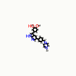 COc1ccc(-c2c[nH]c3ncc(-c4ccc(CN5CCN(C)CC5)cc4)cc23)cc1O